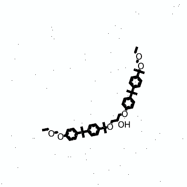 CCOCOc1ccc(C(C)(C)c2ccc(C(C)(C)OCC(O)COc3ccc(C(C)(C)c4ccc(C(C)(C)OCOCC)cc4)cc3)cc2)cc1